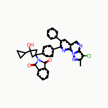 Cc1nn2c(ncc3cc(-c4ccccc4)c(-c4ccc(C5(N6C(=O)c7ccccc7C6=O)CC(O)(C6CC6)C5)cc4)nc32)c1Cl